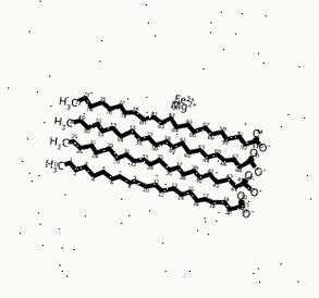 CCCCCCCCCCCCCCCCCCCCCC(=O)[O-].CCCCCCCCCCCCCCCCCCCCCC(=O)[O-].CCCCCCCCCCCCCCCCCCCCCC(=O)[O-].CCCCCCCCCCCCCCCCCCCCCC(=O)[O-].[Fe+2].[Mg+2]